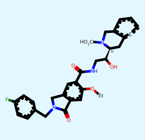 CCOc1cc2c(cc1C(=O)NCC(O)[C@@H]1Cc3ccccc3CN1C(=O)O)CN(Cc1ccc(F)cc1)C2=O